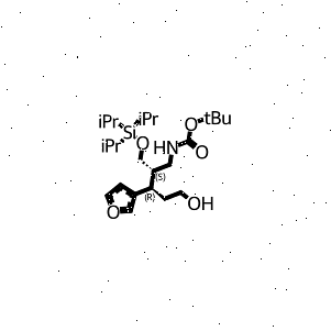 CC(C)[Si](OC[C@H](CNC(=O)OC(C)(C)C)[C@@H](CCO)c1ccoc1)(C(C)C)C(C)C